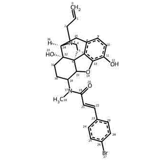 C=CCN1CC[C@]23c4c5ccc(O)c4OC2C(N(C)C(=O)/C=C/c2ccc(Br)cc2)CC[C@@]3(O)[C@H]1C5